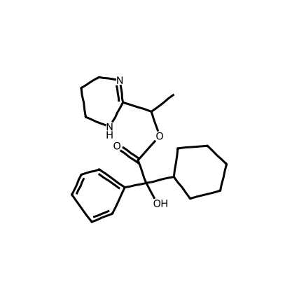 CC(OC(=O)C(O)(c1ccccc1)C1CCCCC1)C1=NCCCN1